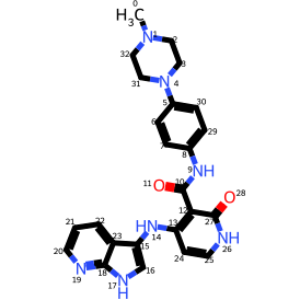 CN1CCN(c2ccc(NC(=O)c3c(Nc4c[nH]c5ncccc45)cc[nH]c3=O)cc2)CC1